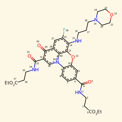 CCOC(=O)CCNC(=O)c1ccc2c(c1)Oc1c(NCCCN3CCOCC3)c(F)cc3c(=O)c(C(=O)NCCC(=O)OCC)cn-2c13